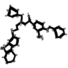 Nc1cc(C(=O)CN(CCOc2ccc3c4c([nH]c3c2)CCCC4)Cc2ccccc2)ccc1OCc1ccccc1